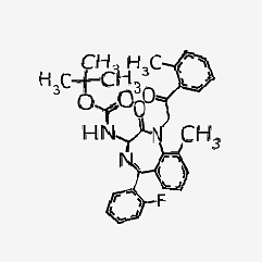 Cc1ccccc1C(=O)CN1C(=O)C(NC(=O)OC(C)(C)C)N=C(c2ccccc2F)c2cccc(C)c21